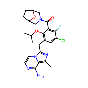 Cc1nc(Cc2cc(Cl)c(F)c(C(=O)N3CC4CCC(C3)O4)c2OC(C)C)n2ccnc(N)c12